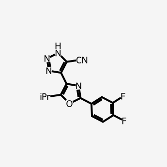 CC(C)c1oc(-c2ccc(F)c(F)c2)nc1-c1nn[nH]c1C#N